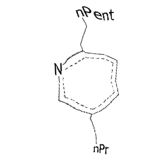 CCCCCc1ccc(CCC)cn1